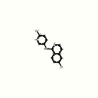 Clc1ccc2c(Nc3ccc(Cl)nc3)nccc2c1